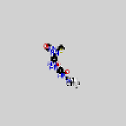 CN(C)CCNC(=O)c1ccc(NC(=O)Nc2ccc(-c3nc(-c4cccs4)nc(N4CCOCC4)n3)cc2)cc1